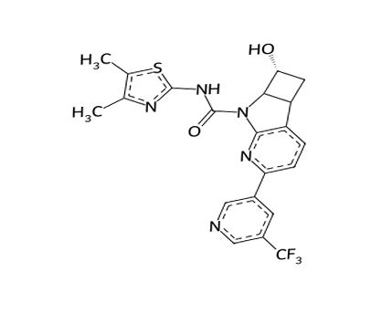 Cc1nc(NC(=O)N2c3nc(-c4cncc(C(F)(F)F)c4)ccc3C3C[C@@H](O)C32)sc1C